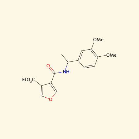 CCOC(=O)c1cocc1C(=O)NC(C)c1ccc(OC)c(OC)c1